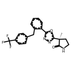 C[C@]1(c2nnc(-c3ccccc3Cc3ccc(C(F)(F)F)cc3)o2)CCNC1=O